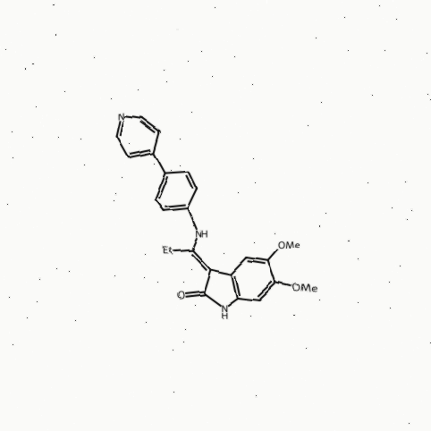 CC/C(Nc1ccc(-c2ccncc2)cc1)=C1\C(=O)Nc2cc(OC)c(OC)cc21